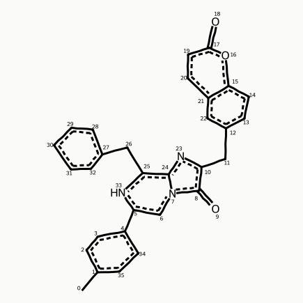 Cc1ccc(-c2cn3c(=O)c(Cc4ccc5oc(=O)ccc5c4)nc-3c(Cc3ccccc3)[nH]2)cc1